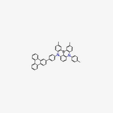 Cc1ccc(N2c3ccc(C)cc3B3c4cc(C)ccc4N(c4ccc(-c5ccc6c7ccccc7c7ccccc7c6c5)cc4)c4cccc2c43)cc1